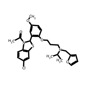 COc1ccc(OCCCN(Cc2ccco2)C(C)C)c(C2Sc3cc(Cl)ccc3N2C(C)=O)c1